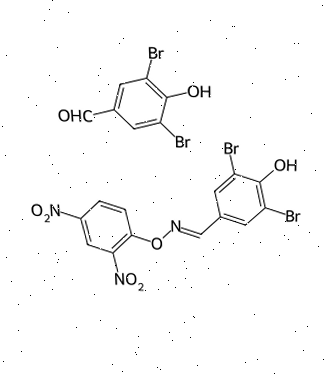 O=Cc1cc(Br)c(O)c(Br)c1.O=[N+]([O-])c1ccc(O/N=C/c2cc(Br)c(O)c(Br)c2)c([N+](=O)[O-])c1